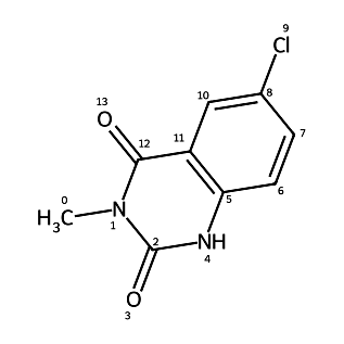 Cn1c(=O)[nH]c2ccc(Cl)cc2c1=O